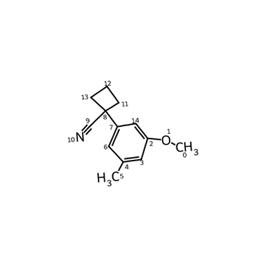 COc1cc(C)cc(C2(C#N)CCC2)c1